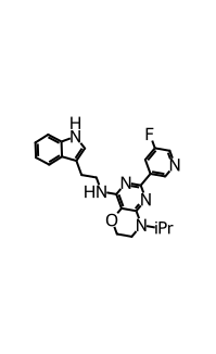 CC(C)N1CCOc2c(NCCc3c[nH]c4ccccc34)nc(-c3cncc(F)c3)nc21